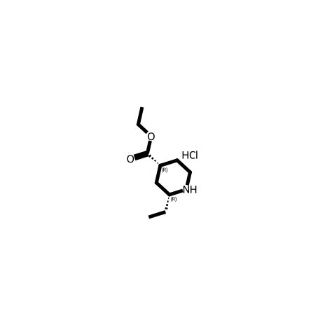 CCOC(=O)[C@@H]1CCN[C@H](CC)C1.Cl